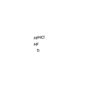 Cl.F.F.[Ti]